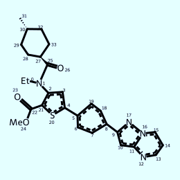 CCN(c1cc(-c2ccc(-c3cc4ncccn4n3)cc2)sc1C(=O)OC)C(=O)[C@H]1CC[C@H](C)CC1